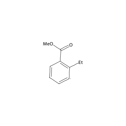 CCc1[c]cccc1C(=O)OC